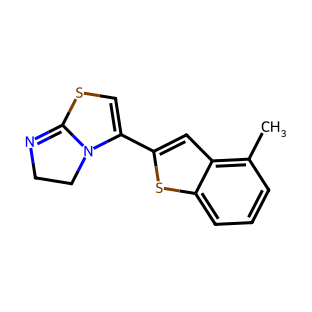 Cc1cccc2sc(C3=CSC4=NCCN34)cc12